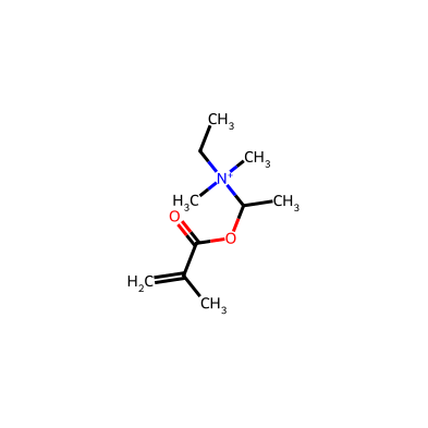 C=C(C)C(=O)OC(C)[N+](C)(C)CC